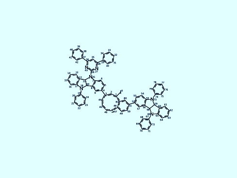 Ic1cc(-c2ccc3c(c2)C2C(c4ccccc4N2c2ccccc2)N3c2nc(-c3ccccc3)cc(-c3ccccc3)n2)cccsc2ccc(-c3ccc4c(c3)C3C(c5ccccc5N3c3ccccc3)N4c3ccccc3)cc12